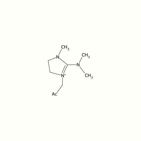 CC(=O)C[N+]1=C(N(C)C)N(C)CC1